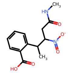 CNC(=O)CC(C(C)c1ccccc1C(=O)O)[N+](=O)[O-]